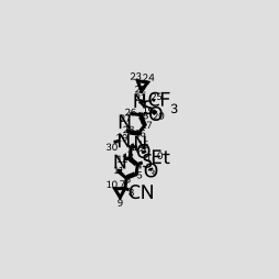 CCS(=O)(=O)c1cc(C2(C#N)CC2)cnc1-c1nc2cc(S(=O)(=NC3CC3)C(F)(F)F)cnc2n1C